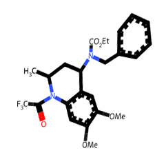 CCOC(=O)N(Cc1ccccc1)C1CC(C)N(C(=O)C(F)(F)F)c2cc(OC)c(OC)cc21